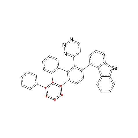 c1ccc(-c2ccccc2-c2ccccc2-c2c(-c3ccccc3)ccc(-c3cccc4[se]c5ccccc5c34)c2-c2ccnnn2)cc1